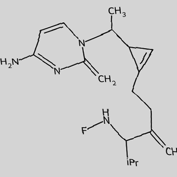 C=C(CCC1=CC1C(C)N1C=CC(N)=NC1=C)C(NF)C(C)C